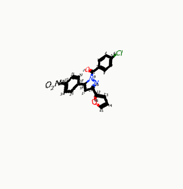 O=C(c1ccc(Cl)cc1)N1N=C(c2ccco2)CC1c1ccc([N+](=O)[O-])cc1